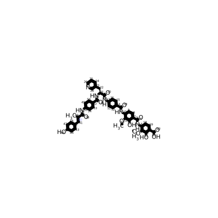 COc1c(NC(=O)c2ccc(NC(=O)c3ccc(NC(=O)[C@H](Cc4cccnc4)NC(=O)c4ccc(NC(=O)/C(C)=C/c5ccc(O)cc5)cc4)cc3)c(OC)c2O)ccc(C(=O)O)c1O